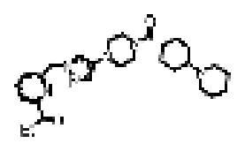 CCC(=O)c1cccc(Cn2cc(N3CCN(C(=O)[C@H]4CC[C@H](N5CCCCC5)CC4)CC3)cn2)n1